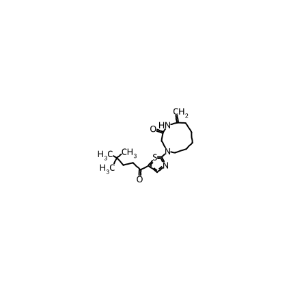 C=C1CCCCCN(c2ncc(C(=O)CCC(C)(C)C)s2)CC(=O)N1